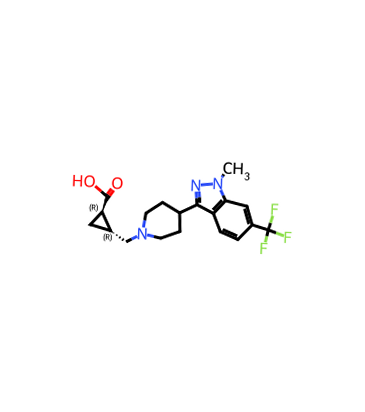 Cn1nc(C2CCN(C[C@@H]3C[C@H]3C(=O)O)CC2)c2ccc(C(F)(F)F)cc21